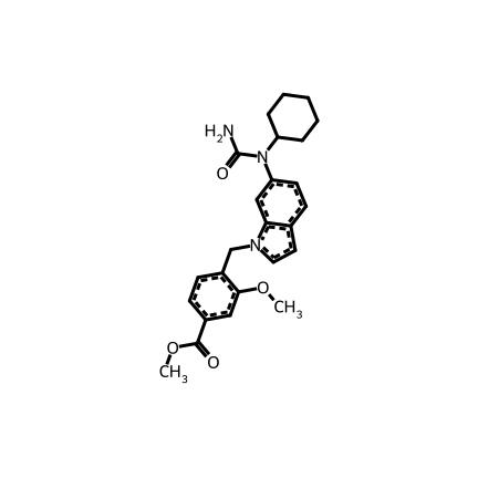 COC(=O)c1ccc(Cn2ccc3ccc(N(C(N)=O)C4CCCCC4)cc32)c(OC)c1